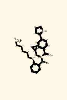 [2H]C(c1ccccc1OCCCCCC(=O)O)N(CC1CC1)C(=O)c1ccc(-c2ccco2)cc1